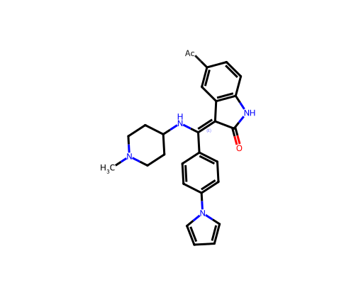 CC(=O)c1ccc2c(c1)/C(=C(\NC1CCN(C)CC1)c1ccc(-n3cccc3)cc1)C(=O)N2